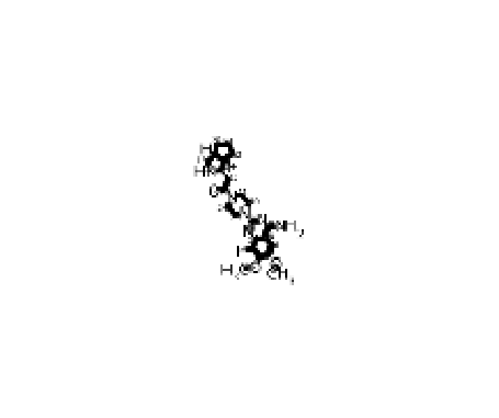 COc1cc2c(N)nc(N3CCN(C(=O)C[C@H]4NC[C@@H]5CCC[C@@H]54)CC3)nc2c(F)c1OC